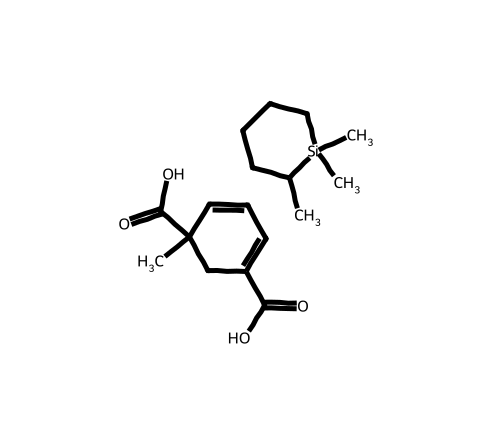 CC1(C(=O)O)C=CC=C(C(=O)O)C1.CC1CCCC[Si]1(C)C